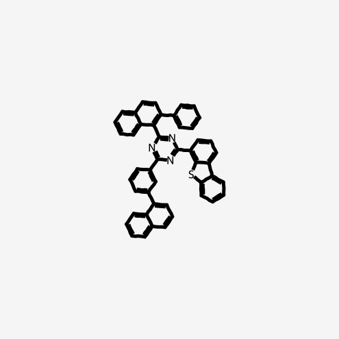 c1ccc(-c2ccc3ccccc3c2-c2nc(-c3cccc(-c4cccc5ccccc45)c3)nc(-c3cccc4c3sc3ccccc34)n2)cc1